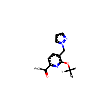 [2H]C([2H])([2H])Oc1nc(C(=O)OC)ccc1Cn1cccn1